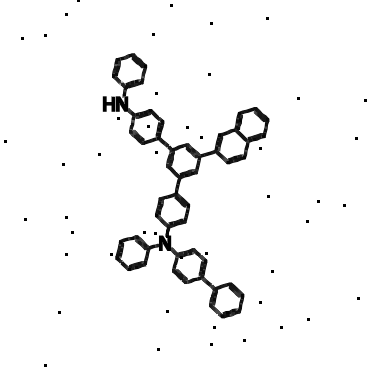 c1ccc(Nc2ccc(-c3cc(-c4ccc(N(c5ccccc5)c5ccc(-c6ccccc6)cc5)cc4)cc(-c4ccc5ccccc5c4)c3)cc2)cc1